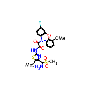 COc1ccccc1Oc1cc(F)ccc1NC(=O)C(=O)Nc1nc(C(N)S(C)(=O)=O)c(SC)s1